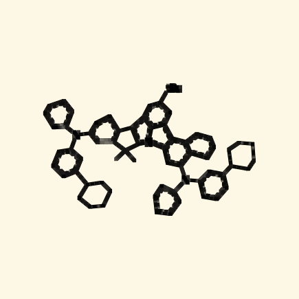 CC(C)(C)c1cc2c3c(n4c5cc(N(c6ccccc6)c6cccc(C7CCCCC7)c6)c6ccccc6c5c(c1)c24)C(C)(C)c1cc(N(c2ccccc2)c2cccc(C4CCCCC4)c2)ccc1-3